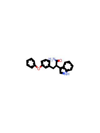 NC(=O)C(Cc1cccc(Oc2ccccc2)c1)c1c[nH]c2ccccc12